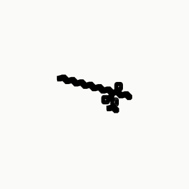 CCCCCCCCCCCCC(C(=O)CCC)C(=O)OC(C)C